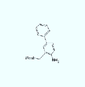 CCCC(C)Cc1cc(-c2ccccc2)ccc1N